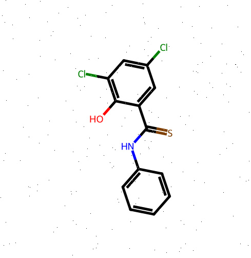 Oc1c(Cl)cc(Cl)cc1C(=S)Nc1ccccc1